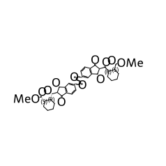 COC(=O)[C@H]1CCCC[C@H]1C(=O)C1C(=O)c2ccc(S(=O)(=O)c3ccc4c(c3)C(=O)C(C(=O)[C@@H]3CCCC[C@@H]3C(=O)OC)C4=O)cc2C1=O